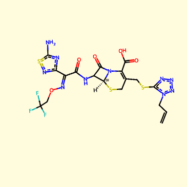 C=CCn1nnnc1SCC1=C(C(=O)O)N2C(=O)C(NC(=O)C(=NOCC(F)(F)F)c3nsc(N)n3)[C@@H]2SC1